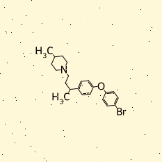 CC1CCN(CCC(C)c2ccc(Oc3ccc(Br)cc3)cc2)CC1